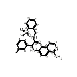 Cc1cccc(C(Nc2ccc3c(N)nccc3c2)C(=O)NCc2ccccc2S(C)(=O)=O)c1